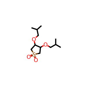 CC(C)COC1CS(=O)(=O)CC1OCC(C)C